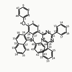 c1ccc(Oc2ccc(-c3nc(-c4ccccc4)nc(-c4ccccc4)n3)c3c2c2ccc4ccccc4c2n3-c2ccccc2)cc1